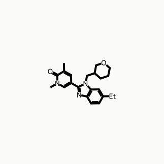 CCc1ccc2nc(-c3cc(C)c(=O)n(C)c3)n(CC3CCCOC3)c2c1